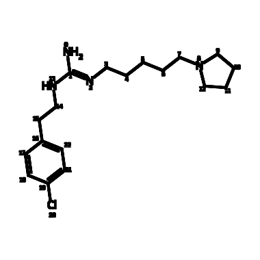 NC(=NCCCCCN1CCCC1)NCCc1ccc(Cl)cc1